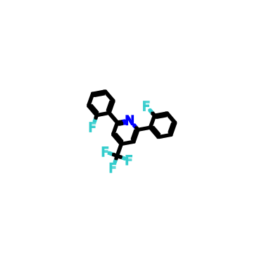 Fc1ccccc1-c1cc(C(F)(F)F)cc(-c2ccccc2F)n1